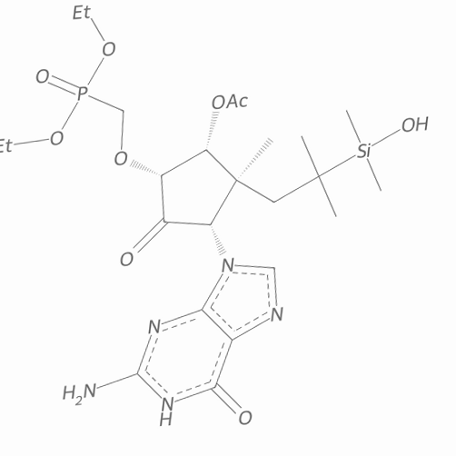 CCOP(=O)(CO[C@H]1C(=O)[C@@H](n2cnc3c(=O)[nH]c(N)nc32)[C@](C)(CC(C)(C)[Si](C)(C)O)[C@H]1OC(C)=O)OCC